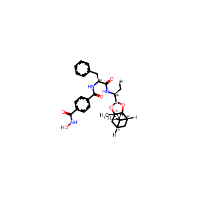 CC(C)C[C@H](NC(=O)[C@H](Cc1ccccc1)NC(=O)c1ccc(C(=O)NO)cc1)B1OC2[C@@H]3C[C@H](C[C@]2(C)O1)C3(C)C